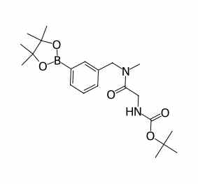 CN(Cc1cccc(B2OC(C)(C)C(C)(C)O2)c1)C(=O)CNC(=O)OC(C)(C)C